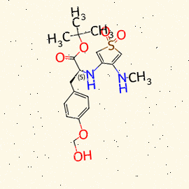 CNC1=CS(=O)(=O)C=C1N[C@@H](Cc1ccc(OCO)cc1)C(=O)OC(C)(C)C